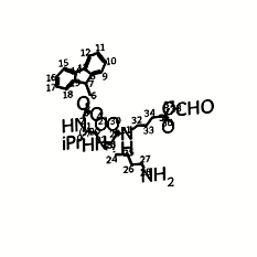 CC(C)[C@H](NC(=O)OCC1c2ccccc2-c2ccccc21)C(=O)N[C@@H](CCCCN)C(=O)NCCCC(=O)OC=O